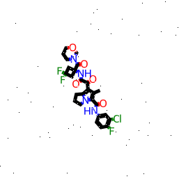 Cc1c(C(=O)C(=O)NC2(C(=O)N3CCCOC3)CC(F)(F)C2)c2n(c1C(=O)Nc1ccc(F)c(Cl)c1)CCC2